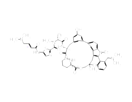 CCn1c(-c2ccccc2CN(C)C)c2c3cc(ccc31)-c1cc(O)cc(c1)C[C@H](NC(=O)[C@H](C(C)C)N(C)C(=O)c1ncc(NC(=O)/C=C/CN(C)C)s1)C(=O)N1CCC[C@@](O)(N1)C(=O)OCC(C)(C)C2